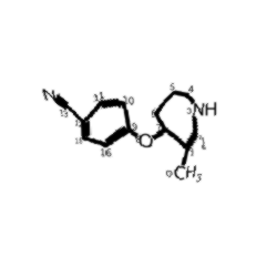 CC1CNCCCC1Oc1ccc(C#N)cc1